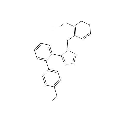 COC1=C(Cn2nnnc2-c2ccccc2-c2ccc(CO)cc2)C=CCC1